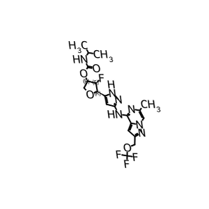 Cc1cn2nc(COC(F)(F)F)cc2c(Nc2cc([C@H]3OC[C@@H](OC(=O)NC(C)C)[C@H]3F)[nH]n2)n1